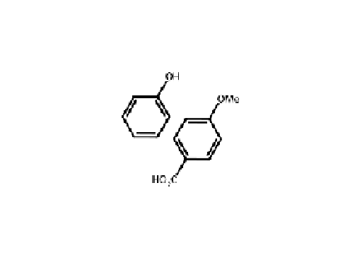 COc1ccc(C(=O)O)cc1.Oc1ccccc1